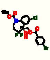 CC(C)(C)OC(=O)N1CCC(F)(F)[C@](O)(COC(=O)c2ccc(Br)cc2)c2cc(Cl)ccc21